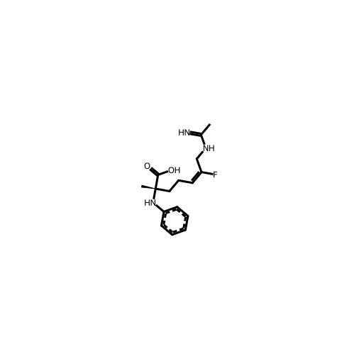 CC(=N)NC/C(F)=C\CC[C@](C)(Nc1ccccc1)C(=O)O